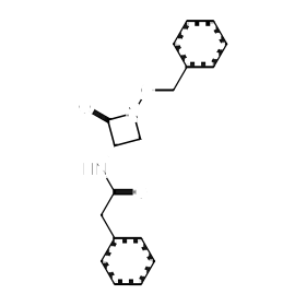 O=C(Cc1ccccc1)N[C@H]1CN(OCc2ccccc2)C1=O